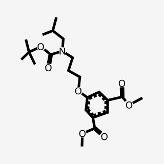 COC(=O)c1cc(OCCCN(CC(C)C)C(=O)OC(C)(C)C)cc(C(=O)OC)c1